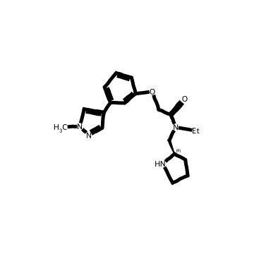 CCN(C[C@H]1CCCN1)C(=O)COc1c[c]cc(-c2cnn(C)c2)c1